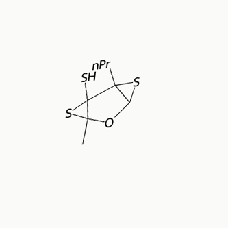 CCCC12SC1OC1(C)SC12S